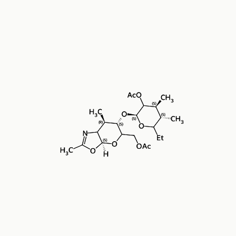 CCC1O[C@@H](O[C@@H]2C(COC(C)=O)O[C@H]3OC(C)=NC3[C@H]2C)C(OC(C)=O)[C@@H](C)[C@@H]1C